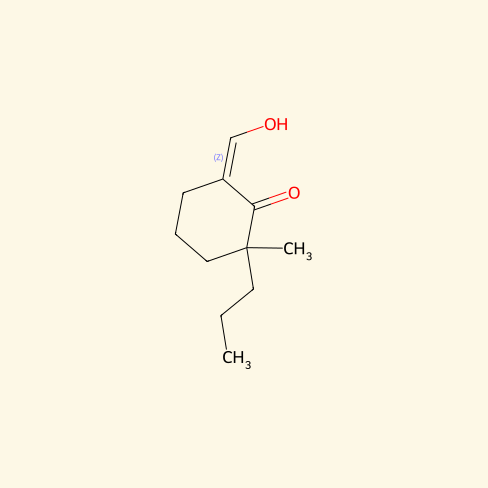 CCCC1(C)CCC/C(=C/O)C1=O